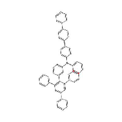 c1ccc(-c2ccc(-c3ccc(N(c4ccccc4)c4cccc(-c5c(-c6ccccc6)cc(-c6ccccc6)cc5-c5ccccc5)c4)cc3)cc2)cc1